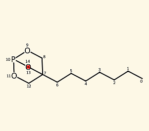 CCCCCCCC12COP(OC1)OC2